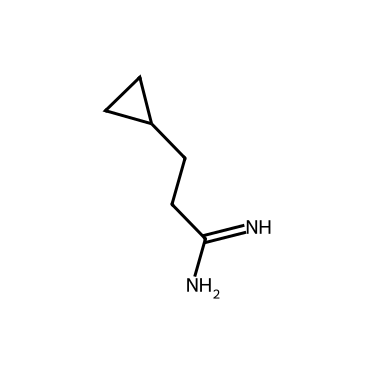 N=C(N)CCC1CC1